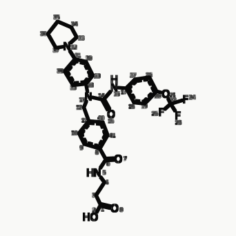 O=C(O)CCNC(=O)c1ccc(CN(C(=O)Nc2ccc(OC(F)(F)F)cc2)c2ccc(N3CCCCC3)cc2)cc1